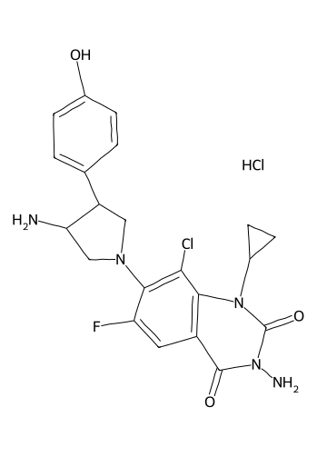 Cl.NC1CN(c2c(F)cc3c(=O)n(N)c(=O)n(C4CC4)c3c2Cl)CC1c1ccc(O)cc1